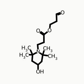 CC1(C)CC(O)CC(C)(C)N1CCC(=O)OCCC=O